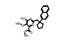 CCCCOc1c(O)nc(CC2(c3ccc4ccccc4c3)CCCC2)nc1C(=O)OC(C)(C)C